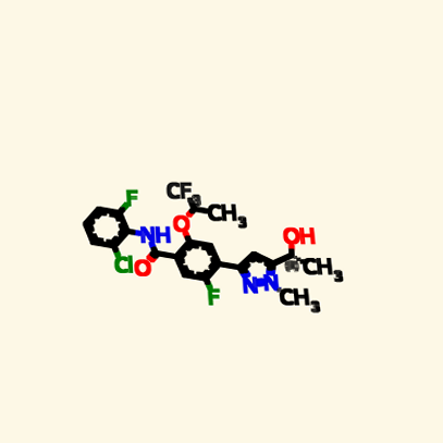 CC(Oc1cc(-c2cc([C@@H](C)O)n(C)n2)c(F)cc1C(=O)Nc1c(F)cccc1Cl)C(F)(F)F